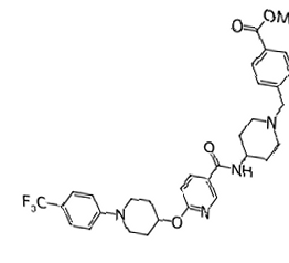 COC(=O)c1ccc(CN2CCC(NC(=O)c3ccc(OC4CCN(c5ccc(C(F)(F)F)cc5)CC4)nc3)CC2)cc1